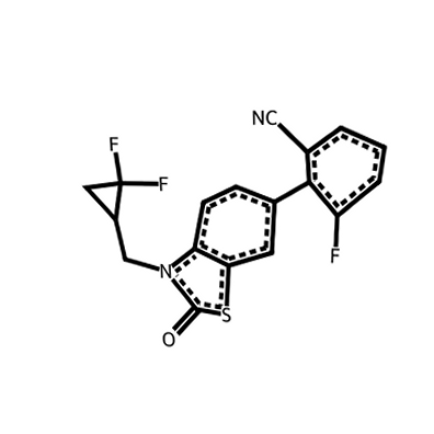 N#Cc1cccc(F)c1-c1ccc2c(c1)sc(=O)n2CC1CC1(F)F